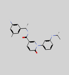 C[C@@H](NC(=O)c1ccc(=O)n(-c2cccc(N[C@H](C)C(F)(F)F)c2)c1)c1cc(N)cc(C(F)(F)F)c1